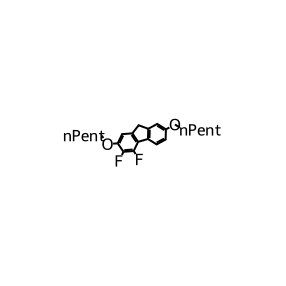 CCCCCOc1ccc2c(c1)Cc1cc(OCCCCC)c(F)c(F)c1-2